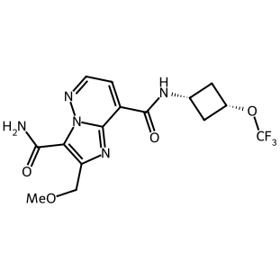 COCc1nc2c(C(=O)N[C@H]3C[C@@H](OC(F)(F)F)C3)ccnn2c1C(N)=O